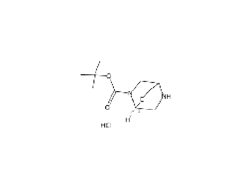 CC(C)(C)OC(=O)N1CC2CC[C@H]1CN2.Cl